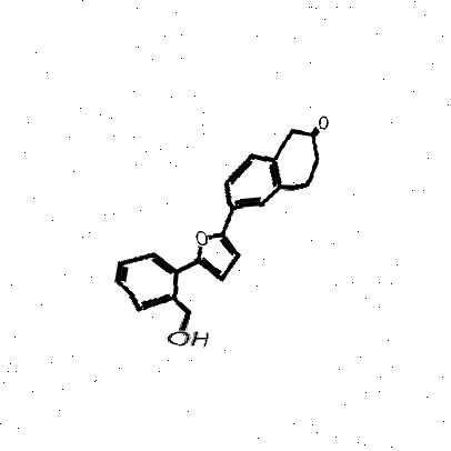 O=C1CCc2cc(-c3ccc(-c4ccccc4CO)o3)ccc2C1